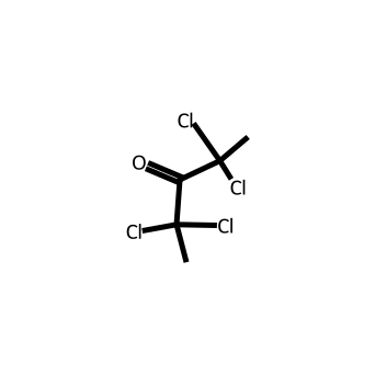 CC(Cl)(Cl)C(=O)C(C)(Cl)Cl